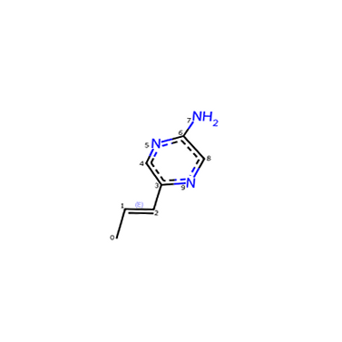 C/C=C/c1cnc(N)cn1